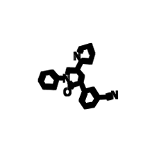 N#Cc1cccc(-c2cc(-c3ccccn3)cn(-c3ccccc3)c2=O)c1